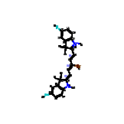 CN1/C(=C/C=C(Br)/C=C/C2=[N+](C)c3ccc(F)cc3C2(C)C)C(C)(C)c2cc(F)ccc21